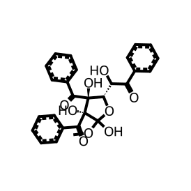 COC1(O)O[C@@H](C(O)C(=O)c2ccccc2)[C@@](O)(C(=O)c2ccccc2)[C@]1(O)C(=O)c1ccccc1